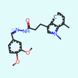 COc1ccc(/C=N\NC(=O)CCc2cn(C)c3c(C)cccc23)cc1OC